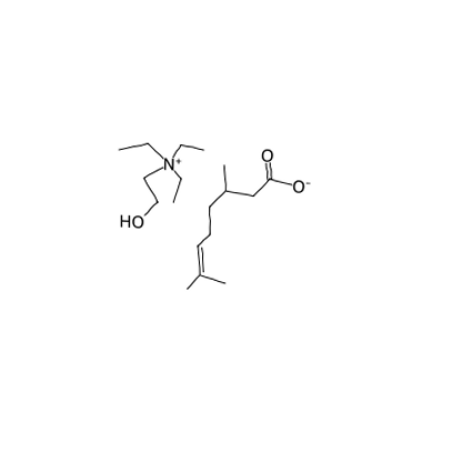 CC(C)=CCCC(C)CC(=O)[O-].CC[N+](CC)(CC)CCO